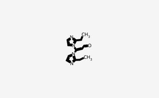 CCc1nccn1C(=CC=O)n1ccnc1CC